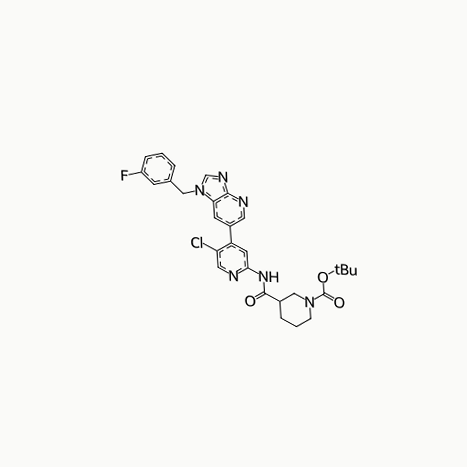 CC(C)(C)OC(=O)N1CCCC(C(=O)Nc2cc(-c3cnc4ncn(Cc5cccc(F)c5)c4c3)c(Cl)cn2)C1